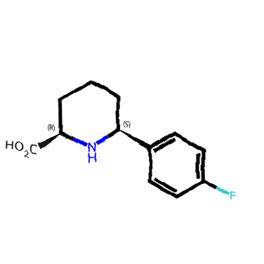 O=C(O)[C@H]1CCC[C@@H](c2ccc(F)cc2)N1